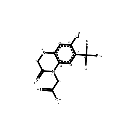 O=C(O)CN1C(=S)CSc2cc(Cl)c(C(F)(F)F)cc21